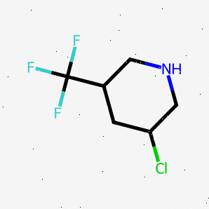 FC(F)(F)C1CNCC(Cl)C1